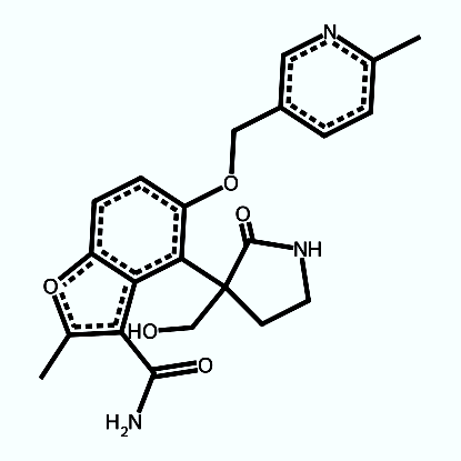 Cc1ccc(COc2ccc3oc(C)c(C(N)=O)c3c2C2(CO)CCNC2=O)cn1